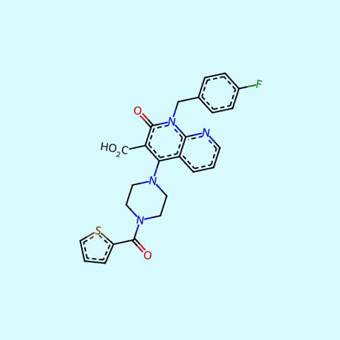 O=C(O)c1c(N2CCN(C(=O)c3cccs3)CC2)c2cccnc2n(Cc2ccc(F)cc2)c1=O